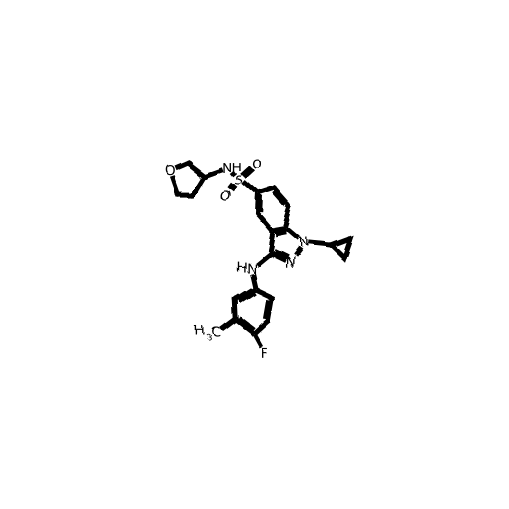 Cc1cc(Nc2nn(C3CC3)c3ccc(S(=O)(=O)NC4CCOC4)cc23)ccc1F